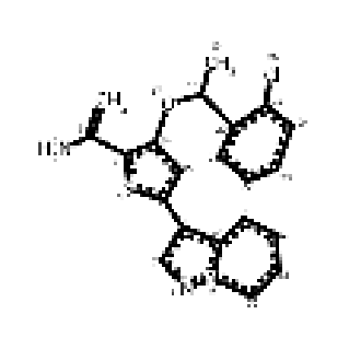 C=C(N)c1sc(-c2cnn3ccccc23)cc1OC(C)c1ccccc1Cl